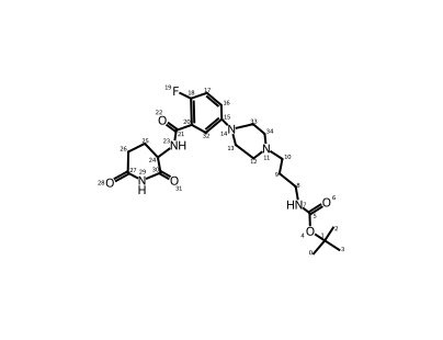 CC(C)(C)OC(=O)NCCCN1CCN(c2ccc(F)c(C(=O)NC3CCC(=O)NC3=O)c2)CC1